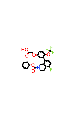 O=C(O)COc1ccc(OC(F)(F)F)c(-c2ccc(F)c3c2CN(C(=O)Oc2ccccc2)CC3)c1